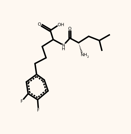 CC(C)C[C@H](N)C(=O)NC(CCCc1ccc(F)c(F)c1)C(=O)O